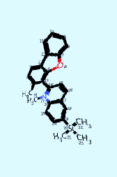 Cc1ccc2c(oc3ccccc32)c1-c1ccc2cc([Si](C)(C)C)ccc2[n+]1C